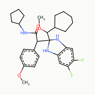 COc1ccc(C(C(=O)NC2CCCC2)C2(C(OC)C3CCCCC3)Nc3cc(F)c(F)cc3N2)cc1